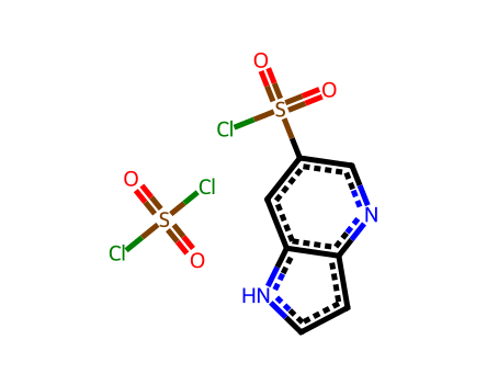 O=S(=O)(Cl)Cl.O=S(=O)(Cl)c1cnc2cc[nH]c2c1